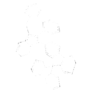 C1=CCCC(C2(c3ccccc3)C3=C(NCC=C3)c3ncc(-n4c5c(c6c4-c4ccccc4-c4ccncc4O6)C=CCC5)cc32)=C1